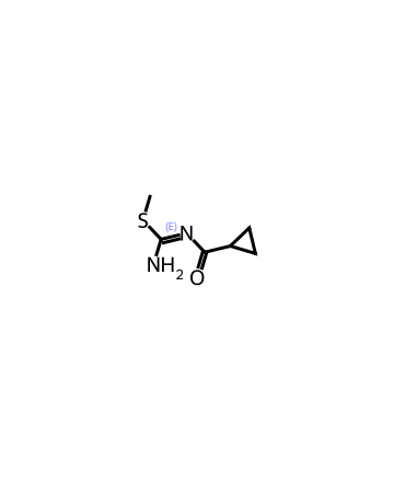 CS/C(N)=N/C(=O)C1CC1